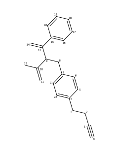 C#CCCc1ccc(CC(C(=C)C)C(=C)c2ccccc2)cc1